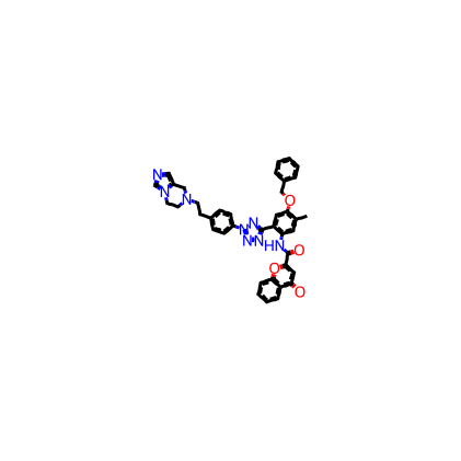 Cc1cc(NC(=O)c2cc(=O)c3ccccc3o2)c(-c2nnn(-c3ccc(CCN4CCn5cncc5C4)cc3)n2)cc1OCc1ccccc1